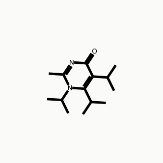 Cc1nc(=O)c(C(C)C)c(C(C)C)n1C(C)C